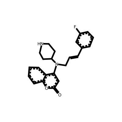 O=c1cc(N(C/C=C/c2cccc(F)c2)C2CCNCC2)c2ccccc2o1